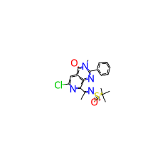 CC(=N[S@+]([O-])C(C)(C)C)c1nc(Cl)cc2c(=O)n(C)c(-c3ccccc3)nc12